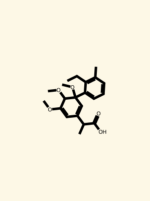 CCc1c(C)cccc1C1(OC)C=C(C(C)C(=O)O)C=C(OC)C1OC